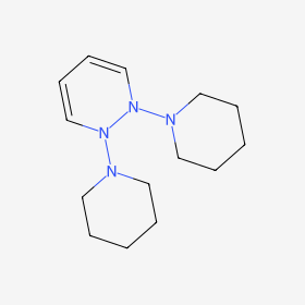 C1=CN(N2CCCCC2)N(N2CCCCC2)C=C1